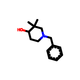 CC1(C)CN(Cc2ccccc2)CCC1O